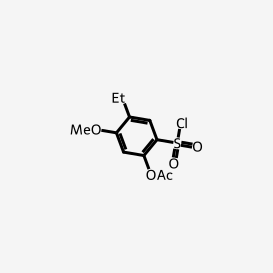 CCc1cc(S(=O)(=O)Cl)c(OC(C)=O)cc1OC